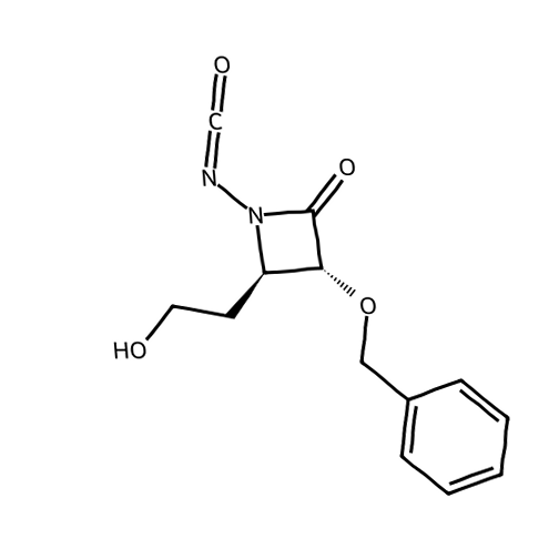 O=C=NN1C(=O)[C@H](OCc2ccccc2)[C@H]1CCO